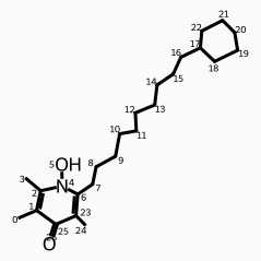 Cc1c(C)n(O)c(CCCCCCCCCCC2CCCCC2)c(C)c1=O